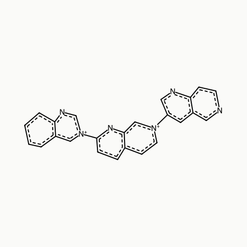 c1ccc2nc[n+](-c3ccc4cc[n+](-c5cnc6ccncc6c5)cc4n3)cc2c1